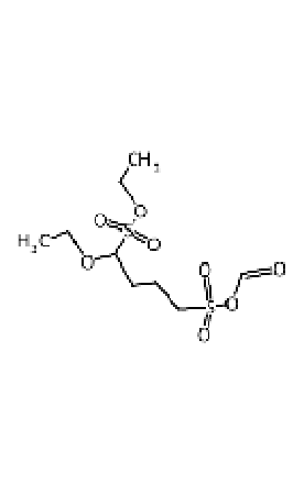 CCOC(CCCS(=O)(=O)OC=O)S(=O)(=O)OCC